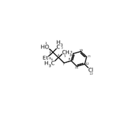 [CH2]CC(C)(O)C(C)(C)Cc1cccc(Cl)c1